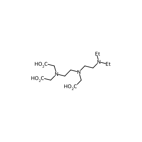 CCN(CC)CCN(CCN(CC(=O)O)CC(=O)O)CC(=O)O